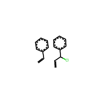 C=CC(Cl)c1ccccc1.C=Cc1ccccc1